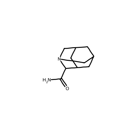 NC(=O)C1C2CC3CC(C2)CN1C3